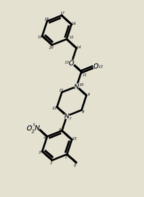 Cc1ccc([N+](=O)[O-])c(N2CCN(C(=O)OCc3ccccc3)CC2)c1